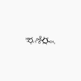 Cc1ccc(S(=O)(=O)OC[C@@H]2CCNC2)cc1